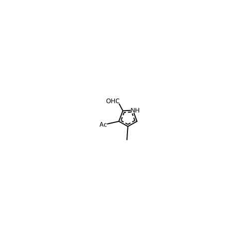 CC(=O)c1c(C)c[nH]c1C=O